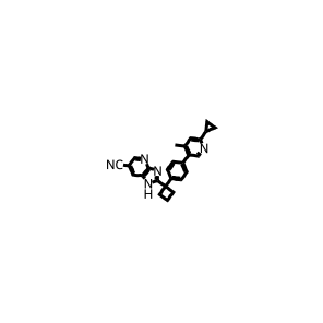 Cc1cc(C2CC2)ncc1-c1ccc(C2(c3nc4ncc(C#N)cc4[nH]3)CCC2)cc1